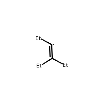 CC[C]=C(CC)CC